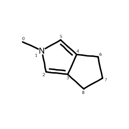 Cn1cc2c(c1)CCC2